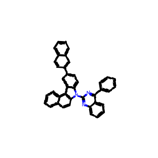 c1ccc(-c2nc(-n3c4ccc(-c5ccc6ccccc6c5)cc4c4c5ccccc5ccc43)nc3ccccc23)cc1